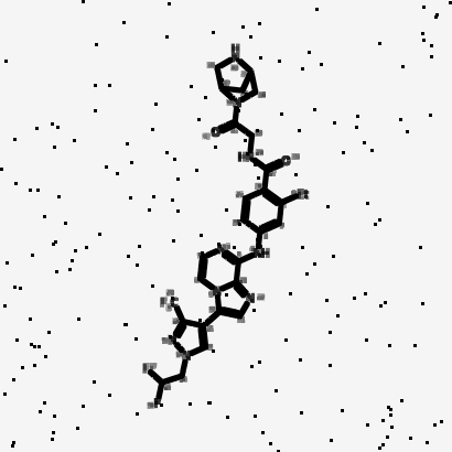 CCc1cc(Nc2nccn3c(-c4cn(CC(F)F)nc4C(F)(F)F)cnc23)ccc1C(=O)NCC(=O)N1CC2CC1CN2